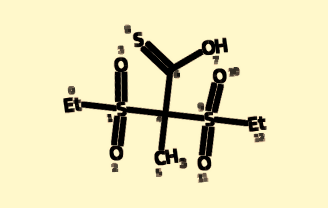 CCS(=O)(=O)C(C)(C(O)=S)S(=O)(=O)CC